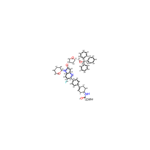 COC(=O)NC1CC=C(c2ccc(-c3nc4cc(O[C@@H]5CO[C@H](COC(c6ccccc6)(c6ccccc6)c6ccccc6)C5)n(C5CCCCO5)c4cc3F)cc2)CC1